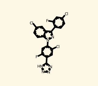 Fc1cc(-n2nc(-c3ccc(Cl)cc3F)c3cc(Cl)ccc32)c(Cl)cc1-c1nnn[nH]1